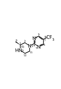 C[C@H]1CN(c2ncc(C(F)(F)F)cn2)CCN1